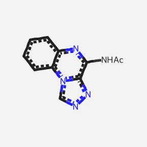 CC(=O)Nc1nc2ccccc2n2cnnc12